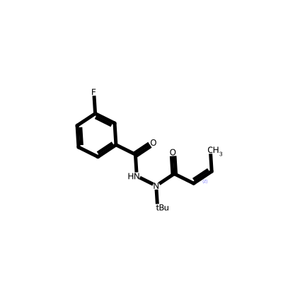 C/C=C\C(=O)N(NC(=O)c1cccc(F)c1)C(C)(C)C